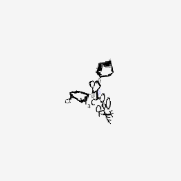 C/C(OS(=O)(=O)C(F)(F)F)=C1/C[C@@H](c2ccccc2)O[C@H]1c1ccc(Cl)cc1